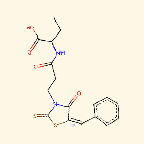 CCC(NC(=O)CCN1C(=O)/C(=C\c2ccccc2)SC1=S)C(=O)O